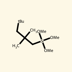 CO[Si](CC(C)(C)CC(C)(C)C)(OC)OC